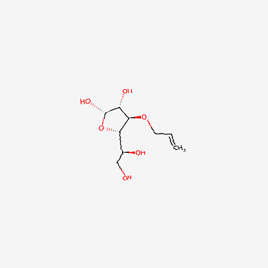 C=CCO[C@@H]1[C@@H](O)[C@@H](O)O[C@H]1[C@@H](O)CO